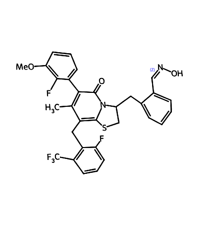 COc1cccc(-c2c(C)c(Cc3c(F)cccc3C(F)(F)F)c3n(c2=O)C(Cc2ccccc2/C=N\O)CS3)c1F